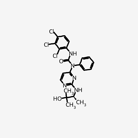 C[C@H](Nc1nccc(N(C(=O)Nc2ccc(Cl)c(Cl)c2Cl)c2ccccc2)n1)C(C)(C)O